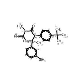 Bc1cccc([C@@]2(C)NC(=N)N(C)C(=O)[C@H]2c2ccc(C(C)(C)C)cc2)c1